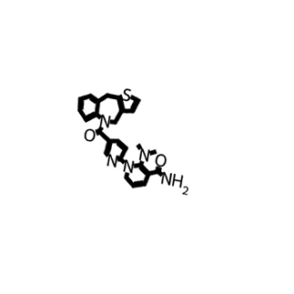 CN(C)C1=C(C(N)=O)C=CCN1c1ccc(C(=O)N2Cc3ccsc3Cc3ccccc32)cn1